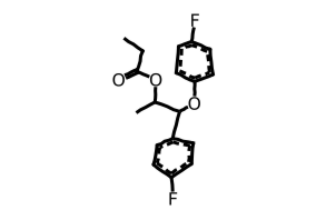 CCC(=O)OC(C)C(Oc1ccc(F)cc1)c1ccc(F)cc1